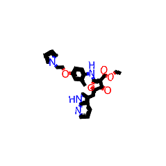 CCOC(=O)C1=C(Nc2ccc(OCCn3cccc3)cc2C)O/C(=C\c2c[nH]c3ncccc23)C1=O